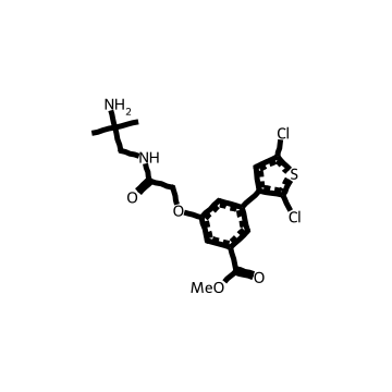 COC(=O)c1cc(OCC(=O)NCC(C)(C)N)cc(-c2cc(Cl)sc2Cl)c1